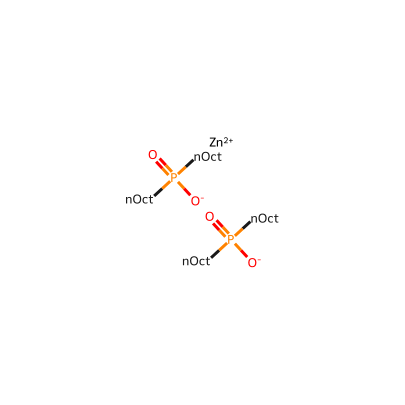 CCCCCCCCP(=O)([O-])CCCCCCCC.CCCCCCCCP(=O)([O-])CCCCCCCC.[Zn+2]